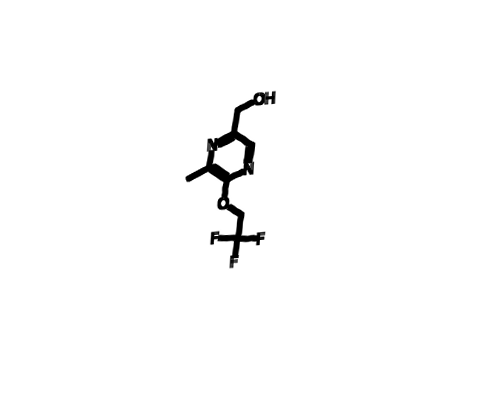 Cc1nc(CO)cnc1OCC(F)(F)F